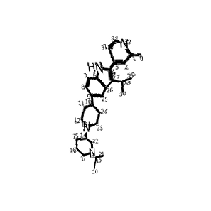 Cc1cc(-c2[nH]c3ccc(C4CCN(C5CCCN(C(C)C)C5)CC4)cc3c2C(C)C)ccn1